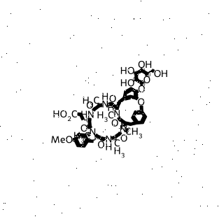 COc1ccc(C[C@H]2C(=O)N[C@@H](C)C(=O)N(C)[C@H]3Cc4ccc(cc4)Oc4cc(ccc4O[C@@H]4O[C@H](CO)[C@@H](O)[C@H](O)[C@H]4O)C[C@@H](C(=O)N[C@H](C)C(=O)N[C@@H](CCC(=O)O)C(=O)N2C)N(C)C3=O)cc1